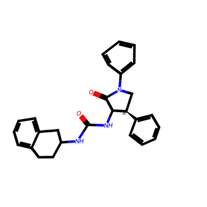 O=C(NC1CCc2ccccc2C1)NC1C(=O)N(c2ccccc2)C[C@H]1c1ccccc1